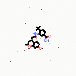 CCCC(CC(=O)Nc1cc(C(N)=O)ccc1C(C)(C)C)c1ccc(OC)cc1OC